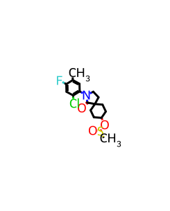 Cc1cc(N2CCC3(CCC(OS(C)=O)CC3)C2=O)c(Cl)cc1F